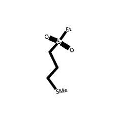 CCS(=O)(=O)CCCSC